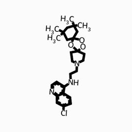 CC1(C)CC(C)(C)CC2(C1)OOC1(CCN(CCNc3ccnc4cc(Cl)ccc34)CC1)O2